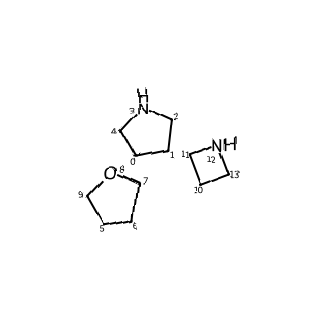 C1CCNC1.C1CCOC1.C1CNC1